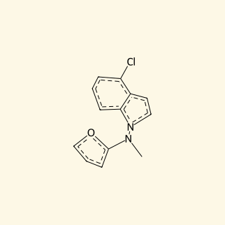 CN(c1ccco1)n1ccc2c(Cl)cccc21